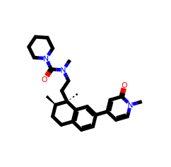 C[C@@H]1CCc2ccc(-c3ccn(C)c(=O)c3)cc2[C@]1(C)CCN(C)C(=O)N1CCCCC1